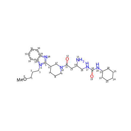 COCCCn1c(C2CCCN(C(=O)CC(N)CNC(=O)NC3CCCCC3)C2)nc2ccccc21